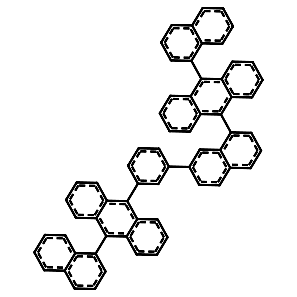 c1cc(-c2ccc3cccc(-c4c5ccccc5c(-c5cccc6ccccc56)c5ccccc45)c3c2)cc(-c2c3ccccc3c(-c3cccc4ccccc34)c3ccccc23)c1